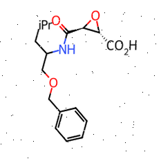 CC(C)CC(COCc1ccccc1)NC(=O)[C@H]1O[C@@H]1C(=O)O